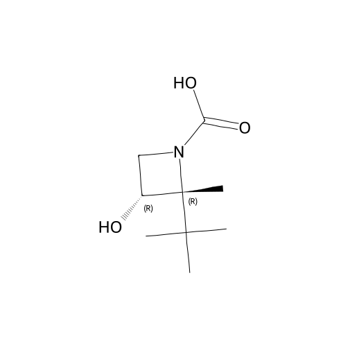 CC(C)(C)[C@]1(C)[C@H](O)CN1C(=O)O